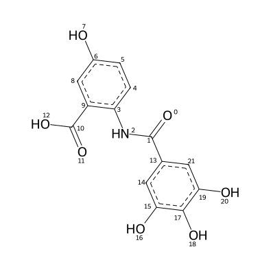 O=C(Nc1ccc(O)cc1C(=O)O)c1cc(O)c(O)c(O)c1